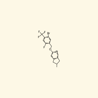 CC1Cc2cnc(OCc3cc(Br)c(C(F)(F)F)cc3F)cc2C1